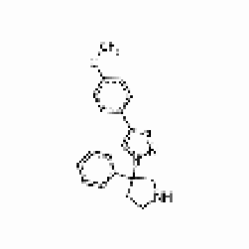 FC(F)(F)Oc1ccc(-c2cnn(C3(c4ccccc4)CCNC3)c2)cc1